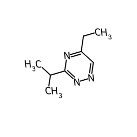 CCc1cnnc(C(C)C)n1